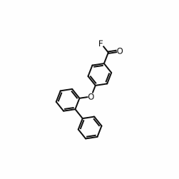 O=C(F)c1ccc(Oc2ccccc2-c2ccccc2)cc1